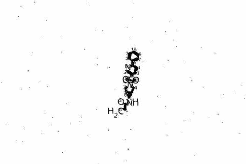 C=CC(=O)NC1C2CN(S(=O)(=O)c3ccc(-c4ccccc4)nc3)CC21